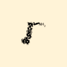 Cc1cc(OCC#CCN)nc(N2CCN(S(=O)(=O)c3ccc4c(n3)CCN4C(=O)c3ccccc3N(C)S(C)(=O)=O)CC2)n1